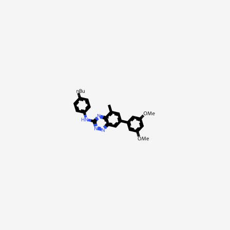 CCCCc1ccc(Nc2nnc3cc(-c4cc(OC)cc(OC)c4)cc(C)c3n2)cc1